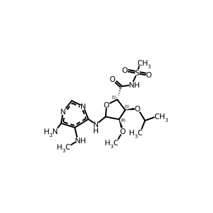 CNc1c(N)ncnc1NC1O[C@H](C(=O)NS(C)(=O)=O)[C@@H](OC(C)C)[C@H]1OC